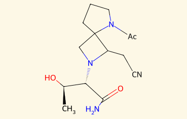 CC(=O)N1CCCC12CN([C@H](C(N)=O)[C@@H](C)O)C2CC#N